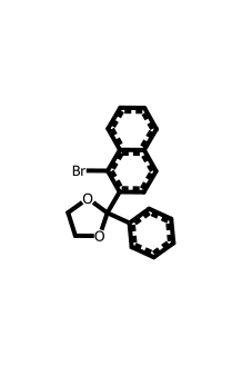 Brc1c(C2(c3ccccc3)OCCO2)ccc2ccccc12